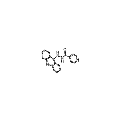 O=C(NNc1c2ccccc2nc2ccccc12)c1ccncc1